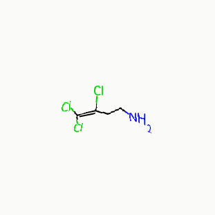 NCCC(Cl)=C(Cl)Cl